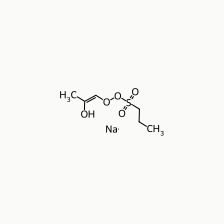 CCCS(=O)(=O)OOC=C(C)O.[Na]